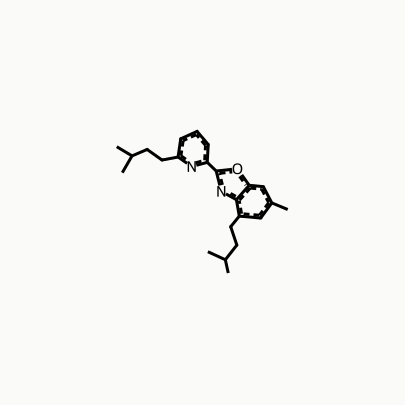 Cc1cc(CCC(C)C)c2nc(-c3cccc(CCC(C)C)n3)oc2c1